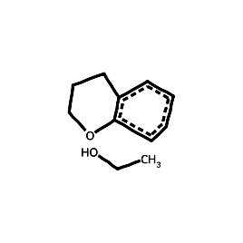 CCO.c1ccc2c(c1)CCCO2